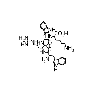 N=C(N)NCCC[C@@H](NC(=O)[C@H](N)Cc1c[nH]c2ccccc12)C(=O)N[C@H](Cc1c[nH]c2ccccc12)C(=O)N[C@H](CCCCN)C(=O)O